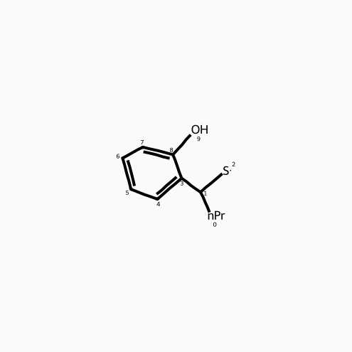 CCCC([S])c1ccccc1O